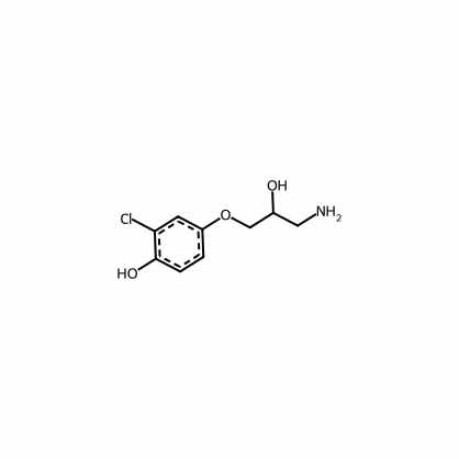 NCC(O)COc1ccc(O)c(Cl)c1